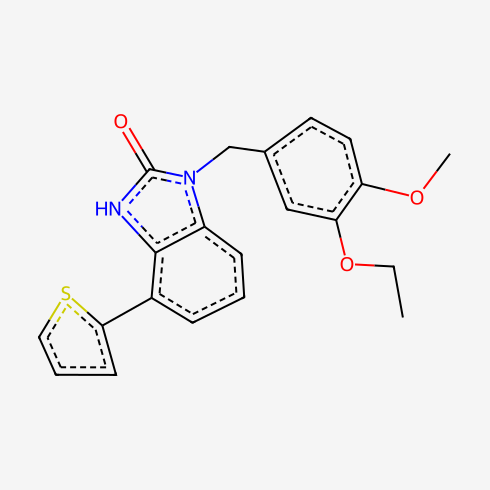 CCOc1cc(Cn2c(=O)[nH]c3c(-c4cccs4)cccc32)ccc1OC